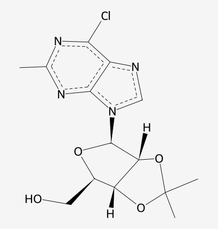 Cc1nc(Cl)c2ncn([C@@H]3O[C@H](CO)[C@H]4OC(C)(C)O[C@H]43)c2n1